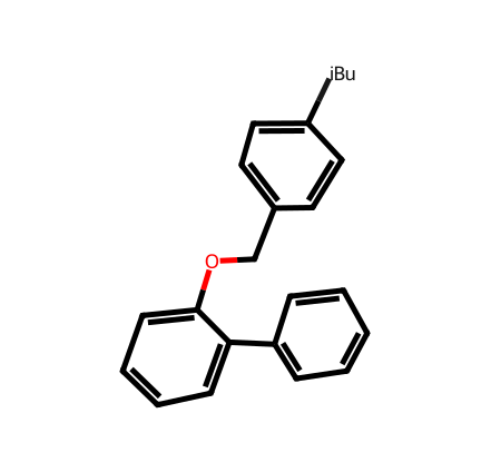 CCC(C)c1ccc(COc2ccccc2-c2ccccc2)cc1